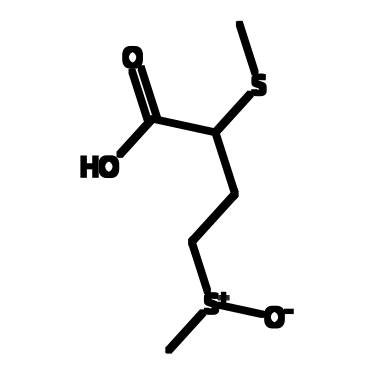 CSC(CC[S+](C)[O-])C(=O)O